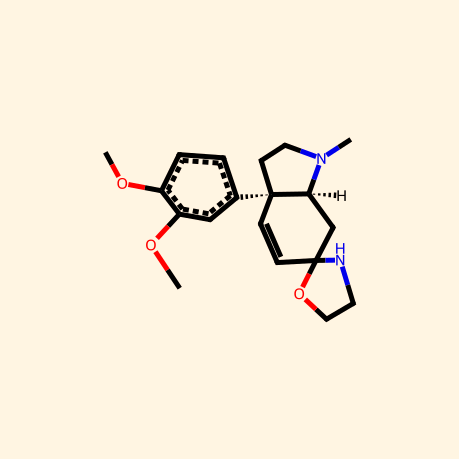 COc1ccc([C@@]23C=CC4(C[C@@H]2N(C)CC3)NCCO4)cc1OC